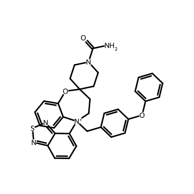 NC(=O)N1CCC2(CC1)CC[N+](Cc1ccc(Oc3ccccc3)cc1)(c1cccc3nsnc13)c1ccccc1O2